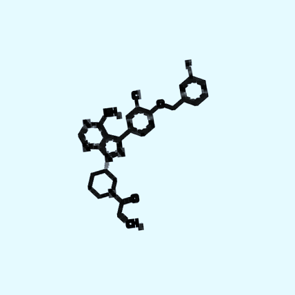 C=CC(=O)N1CCC[C@H](n2nc(-c3ccc(OCc4cccc(F)c4)c(Cl)c3)c3c(N)ncnc32)C1